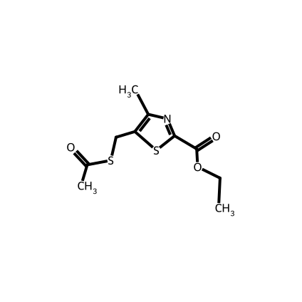 CCOC(=O)c1nc(C)c(CSC(C)=O)s1